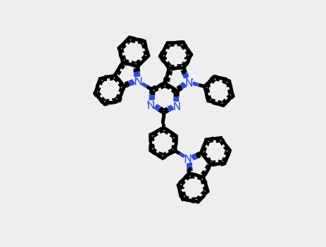 c1ccc(-n2c3ccccc3c3c(-n4c5ccccc5c5ccccc54)nc(-c4cccc(-n5c6ccccc6c6ccccc65)c4)nc32)cc1